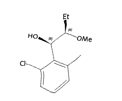 CC[C@@H](OC)[C@H](O)c1c(C)cccc1Cl